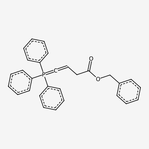 O=C(CC=C=P(c1ccccc1)(c1ccccc1)c1ccccc1)OCc1ccccc1